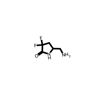 NCC1CC(F)(F)C(=O)N1